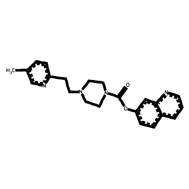 Cc1ccc(CCN2CCN(C(=O)Oc3ccc4cccnc4c3)CC2)nc1